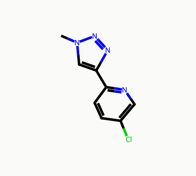 Cn1cc(-c2ccc(Cl)cn2)nn1